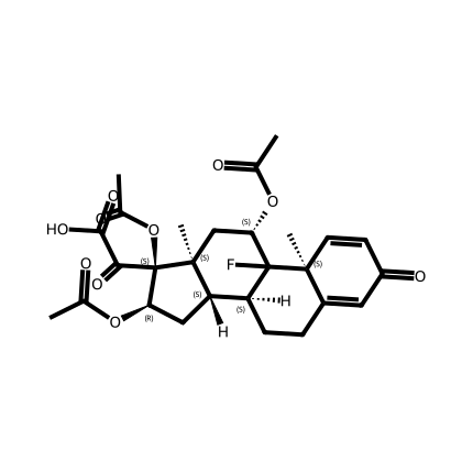 CC(=O)O[C@H]1C[C@@]2(C)[C@@H](C[C@@H](OC(C)=O)[C@]2(OC(C)=O)C(=O)C(=O)O)[C@@H]2CCC3=CC(=O)C=C[C@]3(C)C12F